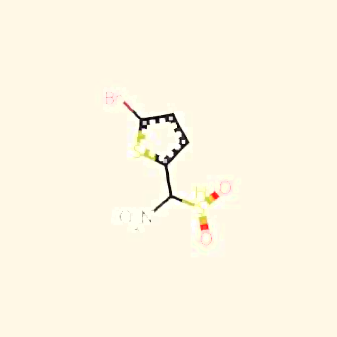 O=[N+]([O-])C(c1ccc(Br)s1)[SH](=O)=O